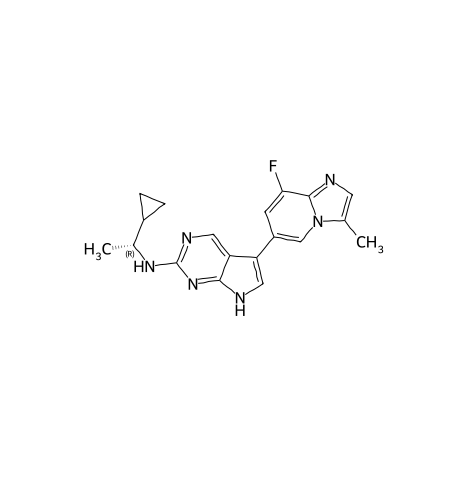 Cc1cnc2c(F)cc(-c3c[nH]c4nc(N[C@H](C)C5CC5)ncc34)cn12